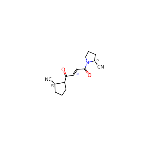 N#C[C@@H]1CCCC1C(=O)/C=C/C(=O)N1CCC[C@H]1C#N